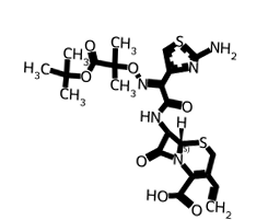 C=CC1=C(C(=O)O)N2C(=O)C(NC(=O)C(=NOC(C)(C)C(=O)OC(C)(C)C)c3csc(N)n3)[C@@H]2SC1